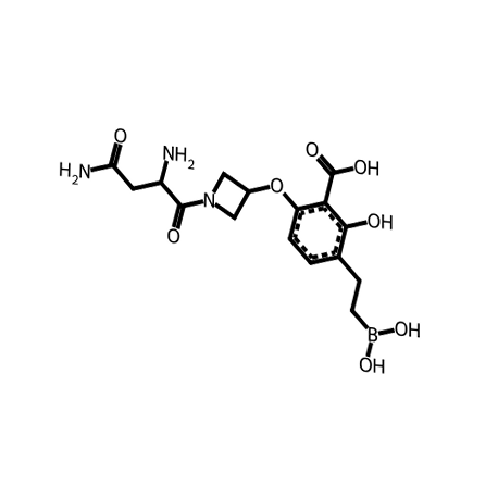 NC(=O)CC(N)C(=O)N1CC(Oc2ccc(CCB(O)O)c(O)c2C(=O)O)C1